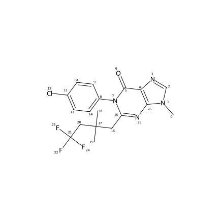 Cn1cnc2c(=O)n(-c3ccc(Cl)cc3)c(CC(C)(C)CC(F)(F)F)nc21